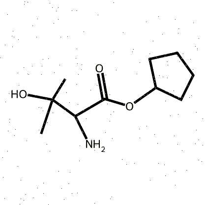 CC(C)(O)C(N)C(=O)OC1CCCC1